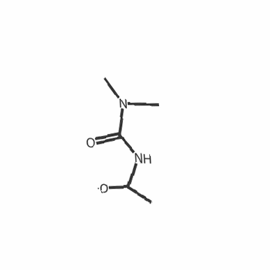 CC([O])NC(=O)N(C)C